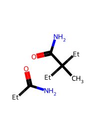 CCC(C)(CC)C(N)=O.CCC(N)=O